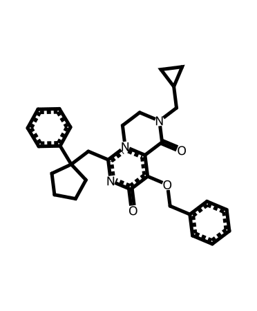 O=C1c2c(OCc3ccccc3)c(=O)nc(CC3(c4ccccc4)CCCC3)n2CCN1CC1CC1